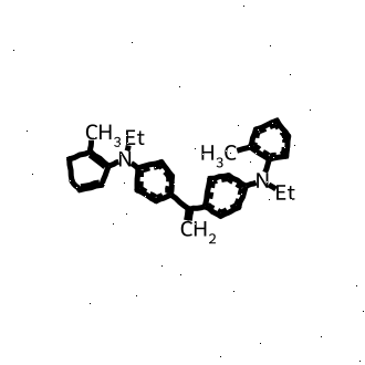 C=C(c1ccc(N(CC)C2=C(C)CCC=C2)cc1)c1ccc(N(CC)c2ccccc2C)cc1